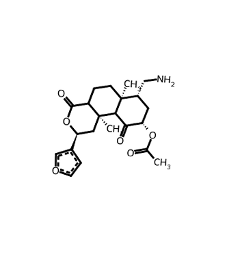 CC(=O)O[C@H]1C[C@@H](CN)[C@]2(C)CCC3C(=O)O[C@H](c4ccoc4)C[C@]3(C)C2C1=O